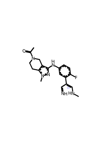 CN/C=C(\C=N)c1cc(Nc2nn(C)c3c2CN(C(C)=O)CC3)ccc1F